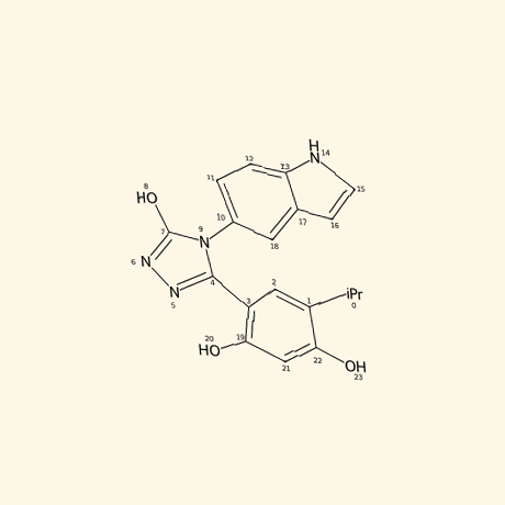 CC(C)c1cc(-c2nnc(O)n2-c2ccc3[nH]ccc3c2)c(O)cc1O